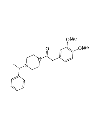 COc1ccc(CC(=O)N2CCN(C(C)c3ccccc3)CC2)cc1OC